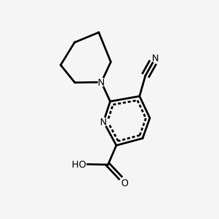 N#Cc1ccc(C(=O)O)nc1N1CCCCC1